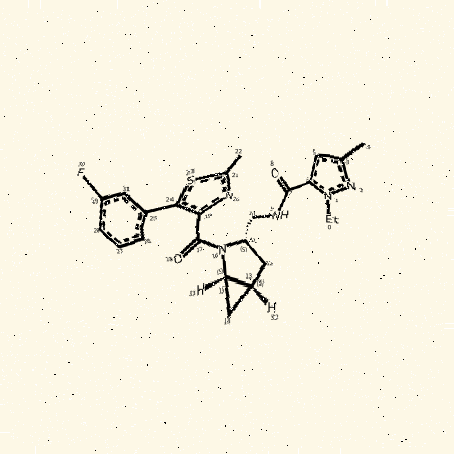 CCn1nc(C)cc1C(=O)NC[C@@H]1C[C@@H]2C[C@@H]2N1C(=O)c1nc(C)sc1-c1cccc(F)c1